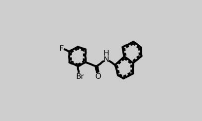 O=C(Nc1cccc2ccccc12)c1ccc(F)cc1Br